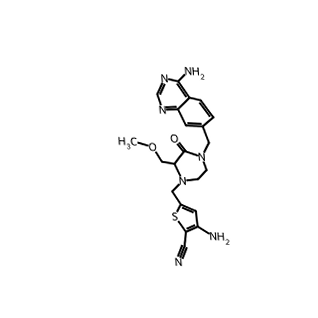 COCC1C(=O)N(Cc2ccc3c(N)ncnc3c2)CCN1Cc1cc(N)c(C#N)s1